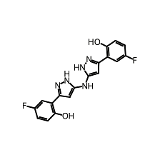 Oc1ccc(F)cc1-c1cc(Nc2cc(-c3cc(F)ccc3O)n[nH]2)[nH]n1